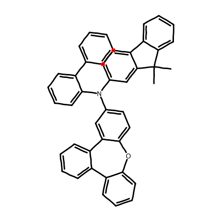 CC1(C)c2ccccc2-c2ccc(N(c3ccc4c(c3)-c3ccccc3-c3ccccc3O4)c3ccccc3-c3ccccc3)cc21